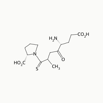 CC(CC(=O)[C@H](N)CCC(=O)O)C(=S)N1CCC[C@H]1C(=O)O